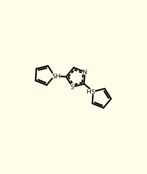 C1=C[SH](c2cnc([SH]3C=CC=C3)s2)C=C1